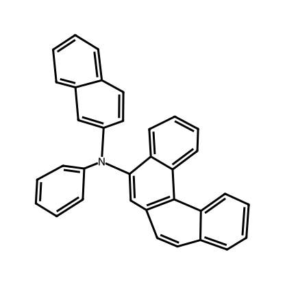 c1ccc(N(c2ccc3ccccc3c2)c2cc3ccc4ccccc4c3c3ccccc23)cc1